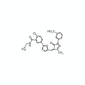 CC1=NN(c2cccc(C(=O)O)c2)C(=O)C1=Cc1ccc(-c2ccc(Cl)c(C(=O)NCC3CC3)c2)o1